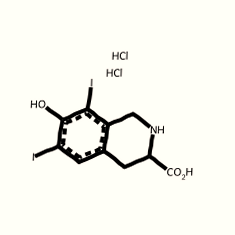 Cl.Cl.O=C(O)C1Cc2cc(I)c(O)c(I)c2CN1